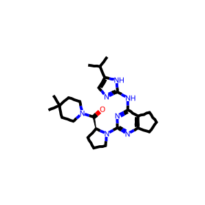 CC(C)c1cnc(Nc2nc(N3CCC[C@H]3C(=O)N3CCC(C)(C)CC3)nc3c2CCC3)[nH]1